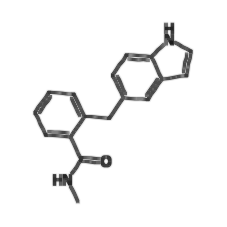 CNC(=O)c1ccccc1Cc1ccc2[nH]ccc2c1